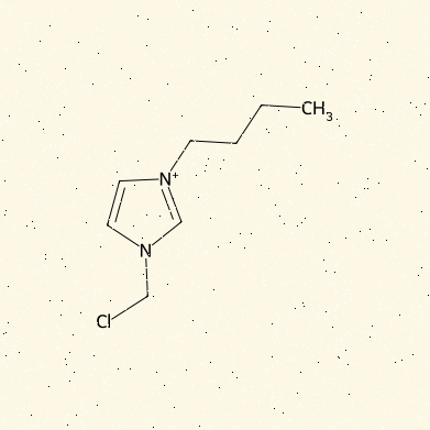 CCCC[n+]1ccn(CCl)c1